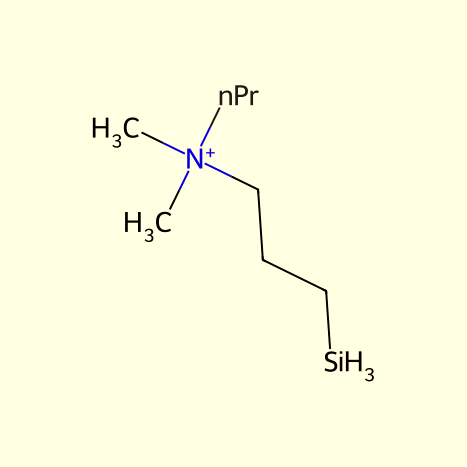 CCC[N+](C)(C)CCC[SiH3]